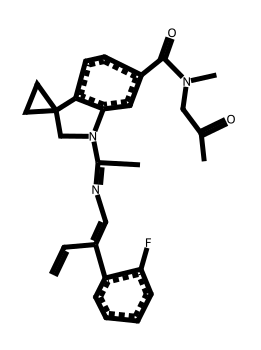 C=C/C(=C\N=C(/C)N1CC2(CC2)c2ccc(C(=O)N(C)CC(C)=O)cc21)c1ccccc1F